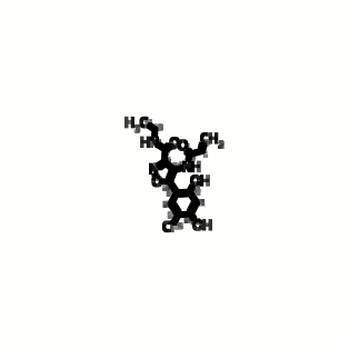 C=CC(=O)Nc1c(C(=O)NCC)noc1-c1cc(Cl)c(O)cc1O